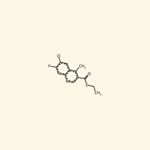 CCOC(=O)c1cnc2cc(F)c(Cl)cc2c1C